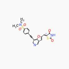 CN(C)S(=O)(=O)c1ccc(C#Cc2cncc3cc(/C=C4\SC(=O)NC4=O)oc23)cc1